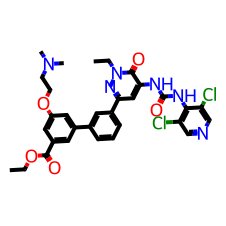 CCOC(=O)c1cc(OCCN(C)C)cc(-c2cccc(-c3cc(NC(=O)Nc4c(Cl)cncc4Cl)c(=O)n(CC)n3)c2)c1